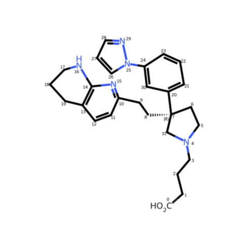 O=C(O)CCCN1CC[C@](CCc2ccc3c(n2)NCCC3)(c2cccc(-n3cccn3)c2)C1